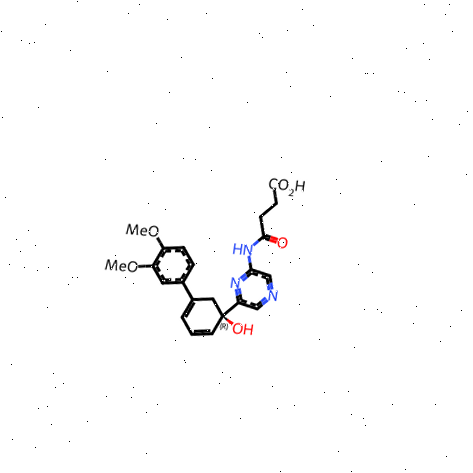 COc1ccc(C2=CC=C[C@@](O)(c3cncc(NC(=O)CCC(=O)O)n3)C2)cc1OC